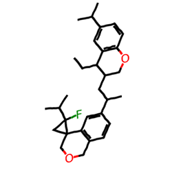 CCC1c2cc(C(C)C)ccc2OCC1CC(C)c1ccc2c(c1)C1(COC2)CC1(F)C(C)C